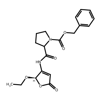 CCO[C@@H]1OC(=O)C=C1NC(=O)C1CCCN1C(=O)OCc1ccccc1